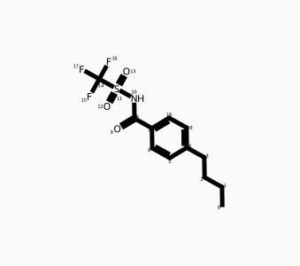 CCCCc1ccc(C(=O)NS(=O)(=O)C(F)(F)F)cc1